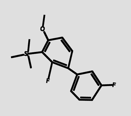 COc1ccc(-c2cccc(F)c2)c(F)c1[Si](C)(C)C